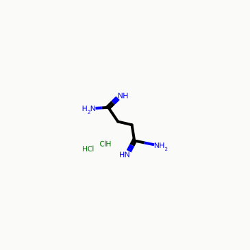 Cl.Cl.N=C(N)CCC(=N)N